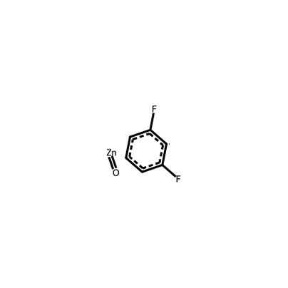 Fc1[c]c(F)ccc1.[O]=[Zn]